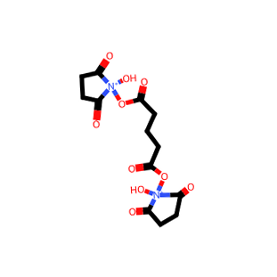 O=C(CCCC(=O)O[N+]1(O)C(=O)CCC1=O)O[N+]1(O)C(=O)CCC1=O